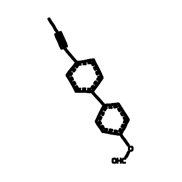 CC#Cc1ccc(-c2ccc(OC=O)cc2)cc1